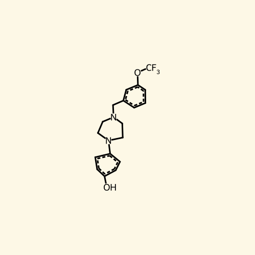 Oc1ccc(N2CCN(Cc3cccc(OC(F)(F)F)c3)CC2)cc1